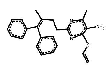 C=CSc1nc(CCC(C)=C(c2ccccc2)c2ccccc2)nc(C)c1N